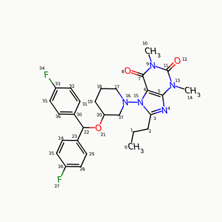 CCCc1nc2c(c(=O)n(C)c(=O)n2C)n1N1CCCC(OC(c2ccc(F)cc2)c2ccc(F)cc2)C1